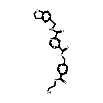 O=C(NCCO)c1ccc(CNC(=O)c2cc(C(=O)NCc3ccc4c(c3)CCO4)ncn2)cc1